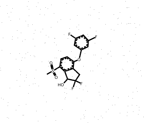 CS(=O)(=O)c1ccc(Oc2cc(F)cc(F)c2)c2c1C(O)C(F)(F)C2